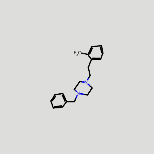 FC(F)(F)c1ccccc1CCN1CCN(Cc2ccccc2)CC1